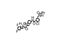 CC(C)C(=O)NCc1ccc(Cl)c(C(=O)Nc2ccc3c(c2)cc(C(=O)NCc2cc(F)cc(F)c2)n3C)c1